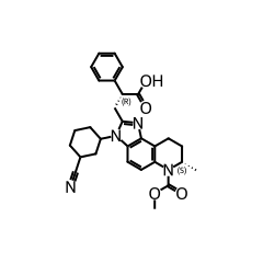 COC(=O)N1c2ccc3c(nc(C[C@@H](C(=O)O)c4ccccc4)n3C3CCCC(C#N)C3)c2CC[C@@H]1C